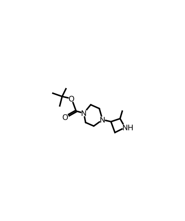 CC1NCC1N1CCN(C(=O)OC(C)(C)C)CC1